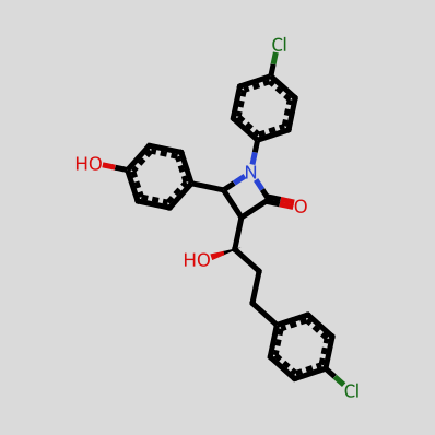 O=C1C([C@H](O)CCc2ccc(Cl)cc2)C(c2ccc(O)cc2)N1c1ccc(Cl)cc1